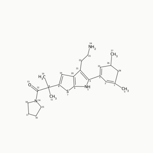 CC1=CC(c2[nH]c3sc(C(C)(C)C(=O)N4CCCC4)cc3c2CCN)=CC(C)C1